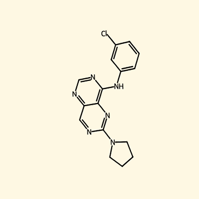 Clc1cccc(Nc2ncnc3cnc(N4CCCC4)nc23)c1